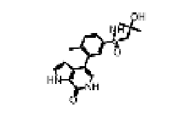 Cc1ccc(S(=N)(=O)CC(C)(C)O)cc1-c1c[nH]c(=O)c2[nH]ccc12